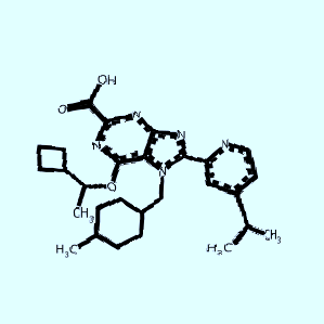 CC1CCC(Cn2c(-c3cc(C(C)C)ccn3)nc3nc(C(=O)O)nc(OC(C)C4CCC4)c32)CC1